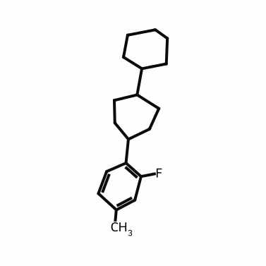 Cc1ccc(C2CCC(C3CCCCC3)CC2)c(F)c1